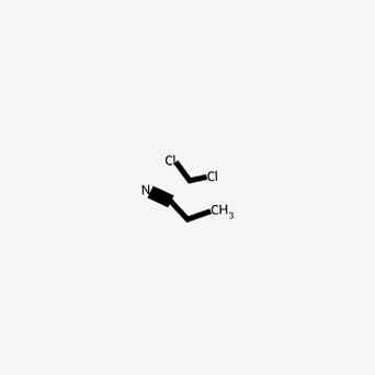 CCC#N.ClCCl